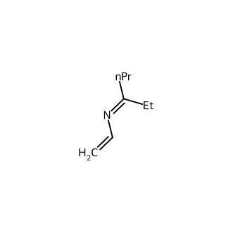 C=C/N=C(\CC)CCC